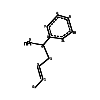 CC=CCC(CCC)c1ccccc1